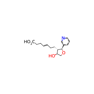 O=C(O)CCC=CCC[C@H]1[C@H](O)CO[C@@H]1c1cccnc1